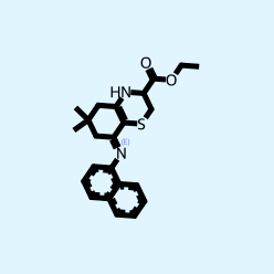 CCOC(=O)C1CSC2=C(CC(C)(C)C/C2=N\c2cccc3ccccc23)N1